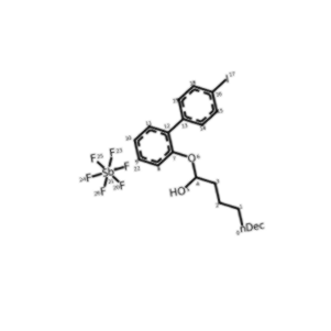 CCCCCCCCCCCCCC(O)Oc1ccccc1-c1ccc(I)cc1.[F][Sb-]([F])([F])([F])([F])[F]